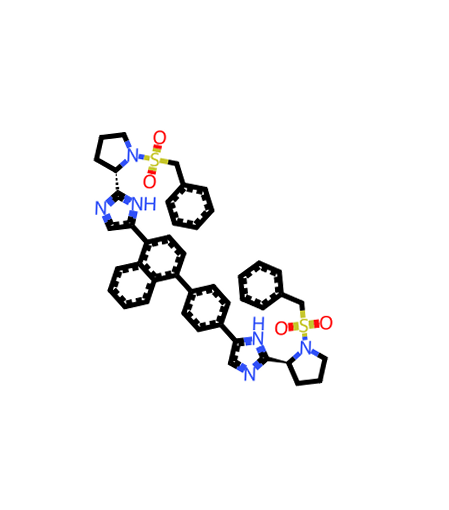 O=S(=O)(Cc1ccccc1)N1CCC[C@H]1c1ncc(-c2ccc(-c3ccc(-c4cnc([C@@H]5CCCN5S(=O)(=O)Cc5ccccc5)[nH]4)c4ccccc34)cc2)[nH]1